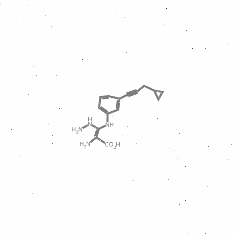 NN/C(Nc1cccc(C#CCC2CC2)c1)=C(\N)C(=O)O